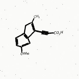 COc1ccc2c(c1)C(C#CC(=O)O)=C(C)C2